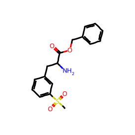 CS(=O)(=O)c1cccc(CC(N)C(=O)OCc2ccccc2)c1